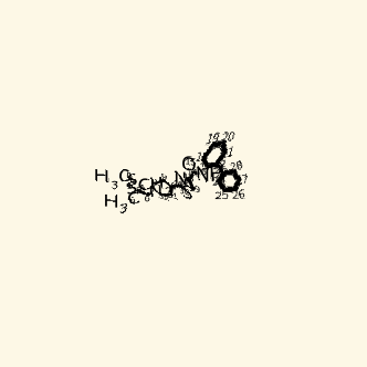 CSSC(C)(C)CN1CCC(c2nc(C(=O)Nc3ccccc3-c3ccccc3)cs2)CC1